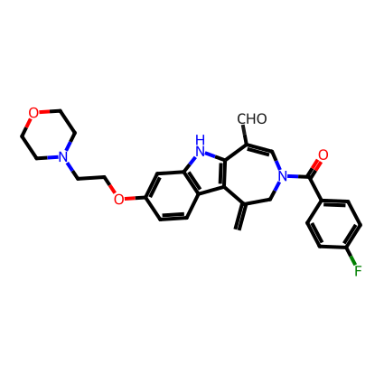 C=C1CN(C(=O)c2ccc(F)cc2)C=C(C=O)c2[nH]c3cc(OCCN4CCOCC4)ccc3c21